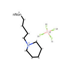 CCCCCCCCCCCCCN1CCCCC1.F[B-](F)(F)F